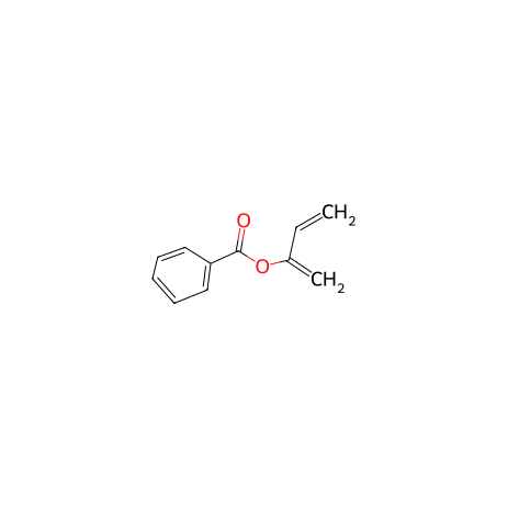 C=CC(=C)OC(=O)c1ccccc1